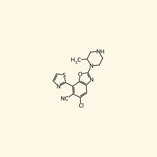 CC1CNCCN1c1nc2cc(Cl)c(C#N)c(-c3nccs3)c2o1